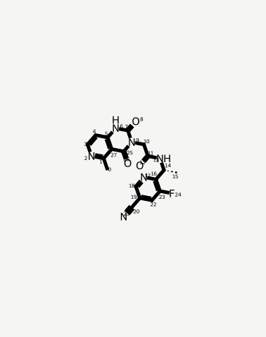 Cc1nccc2[nH]c(=O)n(CC(=O)N[C@H](C)c3ncc(C#N)cc3F)c(=O)c12